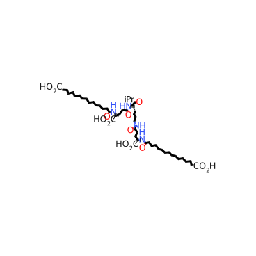 CC(C)C(=O)[C@H](CCCCNC(=O)CC[C@H](NC(=O)CCCCCCCCCCCCCCC(=O)O)C(=O)O)NC(=O)CC[C@H](NC(=O)CCCCCCCCCCCCCCC(=O)O)C(=O)O